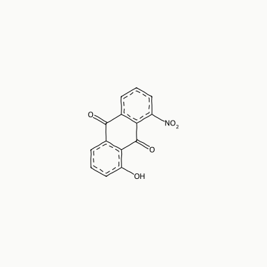 O=C1c2cccc(O)c2C(=O)c2c1cccc2[N+](=O)[O-]